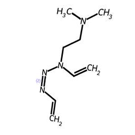 C=C/N=N\N(C=C)CCN(C)C